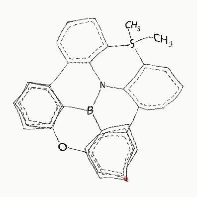 CS1(C)c2cccc(-c3ccccc3)c2N(B2c3ccccc3Oc3ccccc32)c2c(-c3ccccc3)cccc21